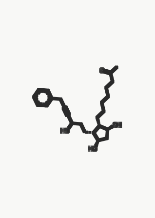 CC(=O)CCCCCC[C@@H]1[C@@H](CCC(O)C#CCc2ccccc2)[C@H](O)C[C@@H]1O